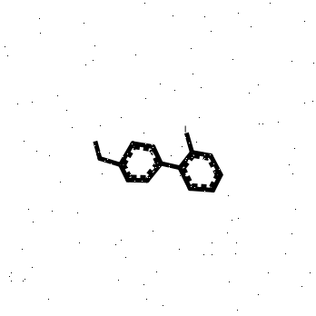 CCc1[c]cc(-c2ccccc2I)cc1